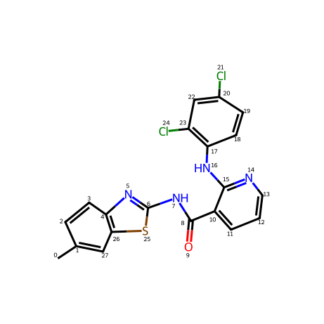 Cc1ccc2nc(NC(=O)c3cccnc3Nc3ccc(Cl)cc3Cl)sc2c1